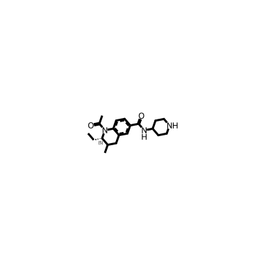 CC[C@H]1C(C)Cc2cc(C(=O)NC3CCNCC3)ccc2N1C(C)=O